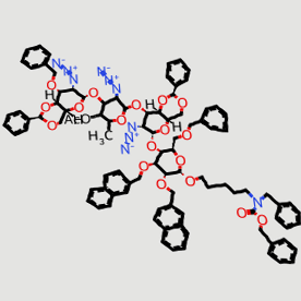 CC(=O)OC1C(C)OC(O[C@@H]2[C@@H](N=[N+]=[N-])[C@@H](O[C@@H]3[C@H](OCc4ccc5ccccc5c4)[C@@H](OCc4ccc5ccccc5c4)[C@@H](OCCCCCN(Cc4ccccc4)C(=O)OCc4ccccc4)O[C@@H]3COCc3ccccc3)O[C@@H]3CO[C@H](c4ccccc4)O[C@H]23)C(N=[N+]=[N-])C1O[C@@H]1O[C@@H]2CO[C@@H](c3ccccc3)O[C@H]2[C@H](OCc2ccccc2)[C@@H]1N=[N+]=[N-]